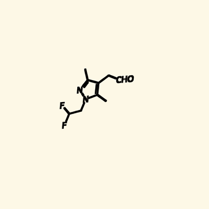 Cc1nn(CC(F)F)c(C)c1CC=O